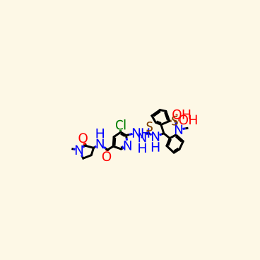 CN1CCC(NC(=O)c2cnc(NNC(=S)NC3c4ccccc4N(C)S(O)(O)c4ccccc43)c(Cl)c2)C1=O